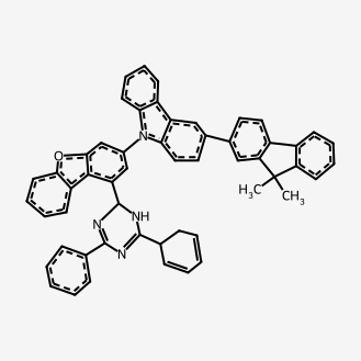 CC1(C)c2ccccc2-c2ccc(-c3ccc4c(c3)c3ccccc3n4-c3cc(C4N=C(c5ccccc5)N=C(C5C=CC=CC5)N4)c4c(c3)oc3ccccc34)cc21